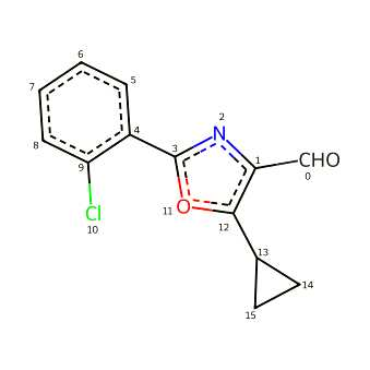 O=Cc1nc(-c2ccccc2Cl)oc1C1CC1